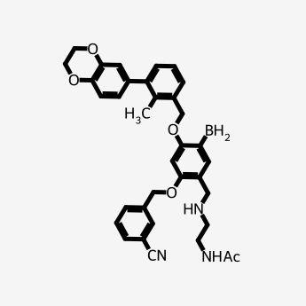 Bc1cc(CNCCNC(C)=O)c(OCc2cccc(C#N)c2)cc1OCc1cccc(-c2ccc3c(c2)OCCO3)c1C